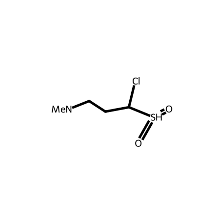 CNCCC(Cl)[SH](=O)=O